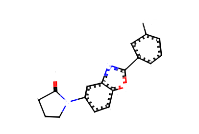 O=C(O)c1cccc(-c2nc3cc(N4CCCC4=O)ccc3o2)c1